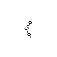 CN1[C@@H](CCc2ccc(F)cc2)CCC[C@H]1CCc1ccc(F)cc1